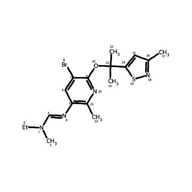 CCN(C)/C=N/c1cc(Br)c(OC(C)(C)c2cc(C)ns2)nc1C